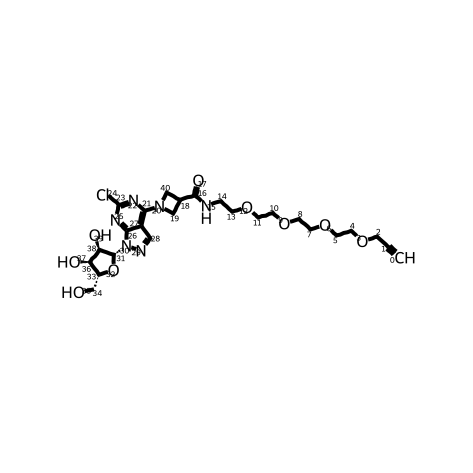 C#CCOCCOCCOCCOCCNC(=O)C1CN(c2nc(Cl)nc3c2cnn3[C@@H]2O[C@H](CO)[C@@H](O)[C@H]2O)C1